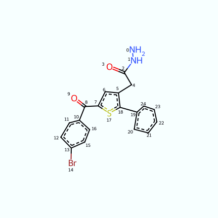 NNC(=O)Cc1cc(C(=O)c2ccc(Br)cc2)sc1-c1ccccc1